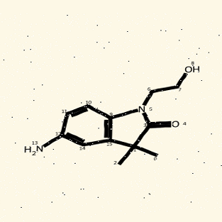 CC1(C)C(=O)N(CCO)c2ccc(N)cc21